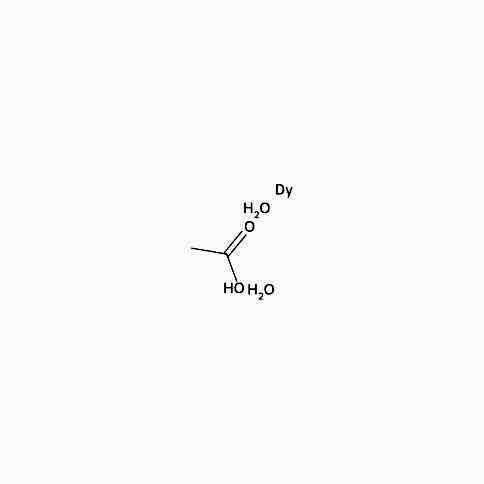 CC(=O)O.O.O.[Dy]